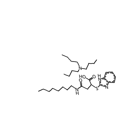 CCCCCCCCNC(=O)CC(Sc1nc2ccccc2[nH]1)C(=O)O.CCCCN(CCCC)CCCC